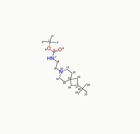 CC(C)(C)OC(=O)NCCN1CCC2(CC1)CC(C(C)(C)C)C2